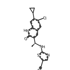 C[C@H](Nc1ncc(C#N)s1)c1cc2cc(Cl)c(C3CC3)cc2[nH]c1=O